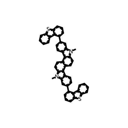 Cn1c2cc(-c3cccc4sc5ccccc5c34)ccc2c2c3ccc4c(c3ccc21)c1ccc(-c2cccc3sc5ccccc5c23)cc1n4C